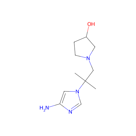 CC(C)(CN1CCC(O)C1)n1cnc(N)c1